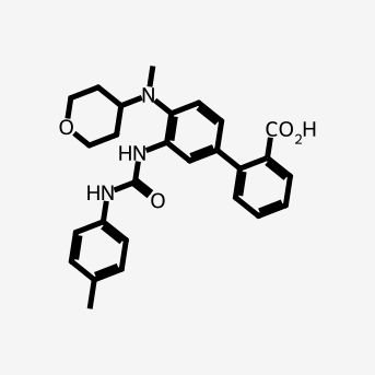 Cc1ccc(NC(=O)Nc2cc(-c3ccccc3C(=O)O)ccc2N(C)C2CCOCC2)cc1